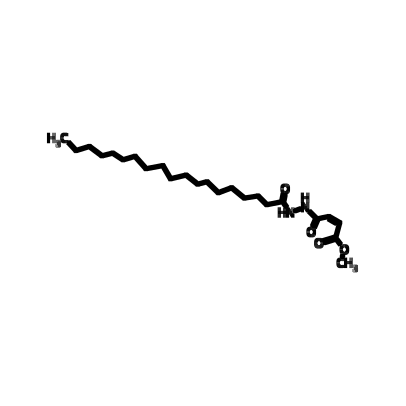 CCCCCCCCCCCCCCCCCCC(=O)NNC(=O)/C=C\C(=O)OC